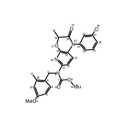 COc1ccc(CN(C(=O)OC(C)(C)C)c2ccc3c(n2)OC(C)C(=O)N3c2cccc(Cl)c2)c(C)c1